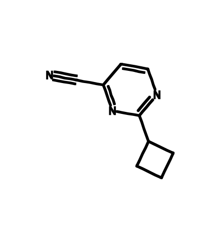 N#Cc1ccnc(C2CCC2)n1